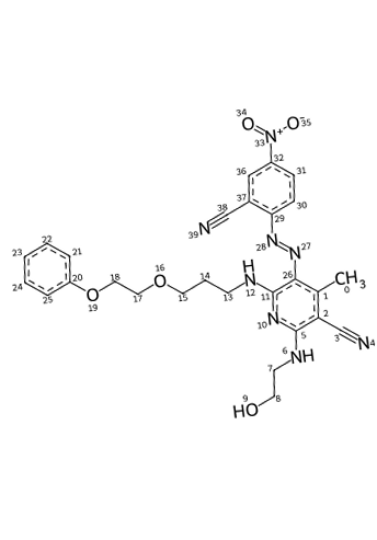 Cc1c(C#N)c(NCCO)nc(NCCCOCCOc2ccccc2)c1N=Nc1ccc([N+](=O)[O-])cc1C#N